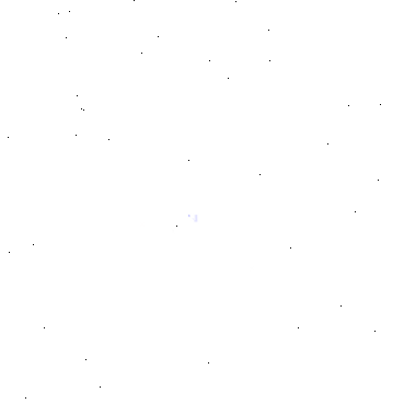 C=C(C)C(N)=O.C=CC=C.C=Cc1ccccc1